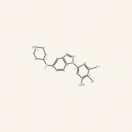 Oc1cc(-n2ncc3cc(OC4CCNCC4)ccc32)cc(F)c1F